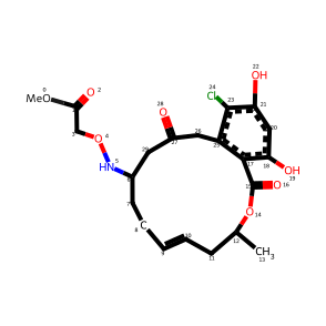 COC(=O)CONC1CC/C=C/CC(C)OC(=O)c2c(O)cc(O)c(Cl)c2CC(=O)C1